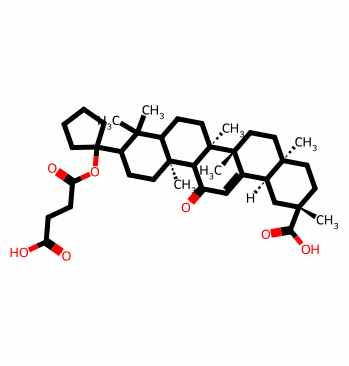 CC1(C)C(C2(OC(=O)CCC(=O)O)CCCC2)CC[C@@]2(C)C1CC[C@]1(C)C2C(=O)C=C2[C@@H]3C[C@@](C)(C(=O)O)CC[C@]3(C)CC[C@]21C